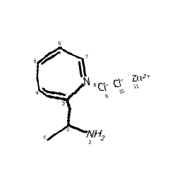 CC(N)c1ccccn1.[Cl-].[Cl-].[Zn+2]